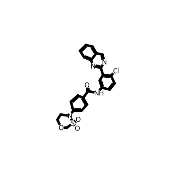 O=C(Nc1ccc(Cl)c(-c2ncc3ccccc3n2)c1)c1ccc(N2CCOCS2(=O)=O)cc1